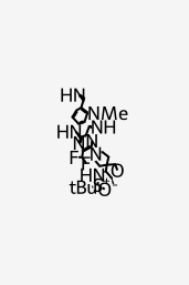 CNc1cc(Nc2nc(C(F)F)c(N3CCC4(CC3)CO[C@@H](C)[C@H]4N[S+]([O-])C(C)(C)C)nc2C=N)ccc1C=N